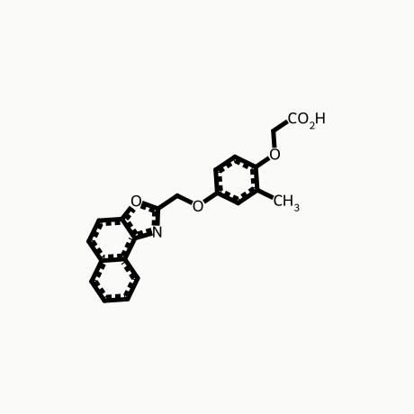 Cc1cc(OCc2nc3c(ccc4ccccc43)o2)ccc1OCC(=O)O